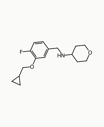 Fc1ccc(CNC2CCOCC2)cc1OCC1CC1